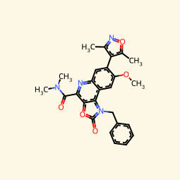 COc1cc2c(cc1-c1c(C)noc1C)nc(C(=O)N(C)C)c1oc(=O)n(Cc3ccccc3)c12